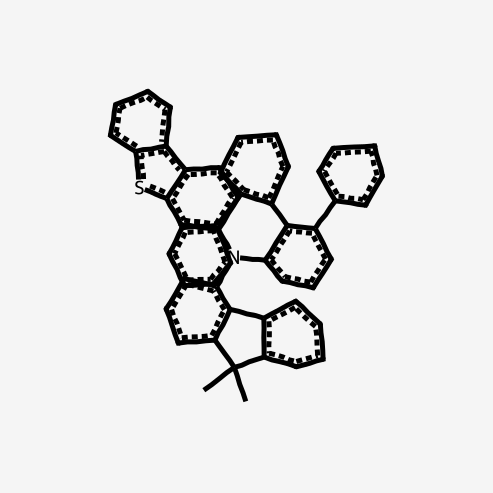 CC1(C)c2ccccc2-c2c(N(c3ccc4c(c3)sc3ccccc34)c3cccc(-c4ccccc4)c3-c3ccccc3-c3ccccc3)cccc21